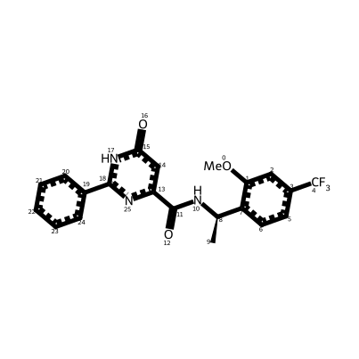 COc1cc(C(F)(F)F)ccc1[C@@H](C)NC(=O)c1cc(=O)[nH]c(-c2ccccc2)n1